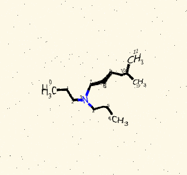 CCCN(CCC)CCCC(C)C